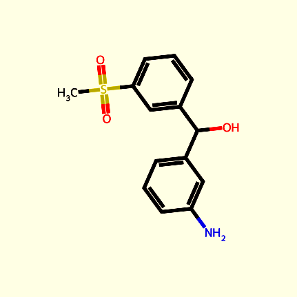 CS(=O)(=O)c1cccc(C(O)c2cccc(N)c2)c1